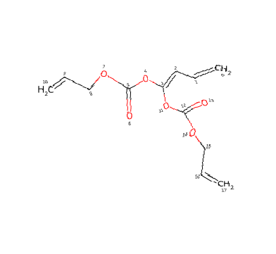 C=CC=C(OC(=O)OCC=C)OC(=O)OCC=C